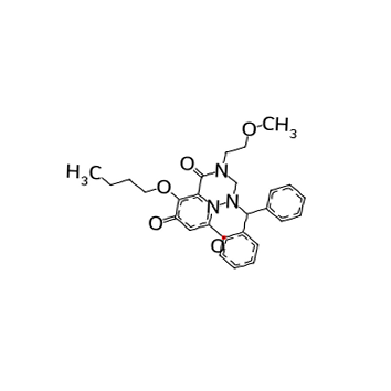 CCCCOc1c2n(c(C=O)cc1=O)N(C(c1ccccc1)c1ccccc1)CN(CCOC)C2=O